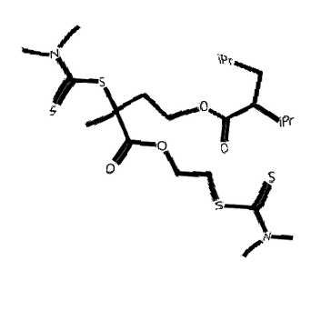 CC(C)CC(C(=O)OCCC(C)(SC(=S)N(C)C)C(=O)OCCSC(=S)N(C)C)C(C)C